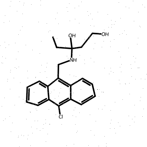 CCC(O)(CCO)NCc1c2ccccc2c(Cl)c2ccccc12